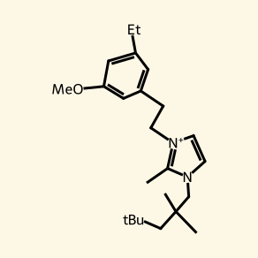 CCc1cc(CC[n+]2ccn(CC(C)(C)CC(C)(C)C)c2C)cc(OC)c1